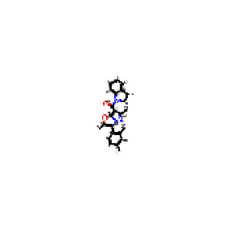 Cc1ccc(-c2c(C)oc3c(C(=O)N4CCc5ccccc54)c(C)nn23)c(C)c1